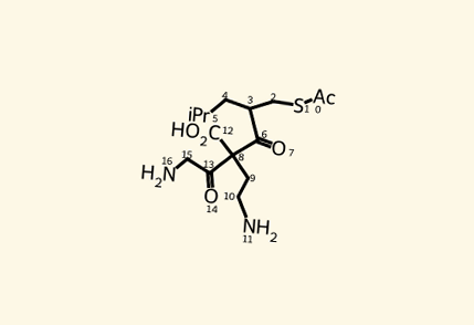 CC(=O)SCC(CC(C)C)C(=O)C(CCN)(C(=O)O)C(=O)CN